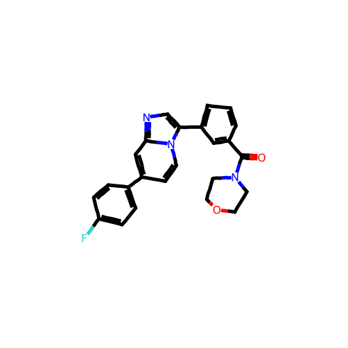 O=C(c1cccc(-c2cnc3cc(-c4ccc(F)cc4)ccn23)c1)N1CCOCC1